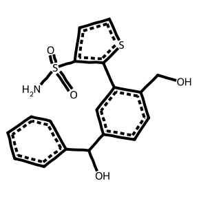 NS(=O)(=O)c1ccsc1-c1cc(C(O)c2ccccc2)ccc1CO